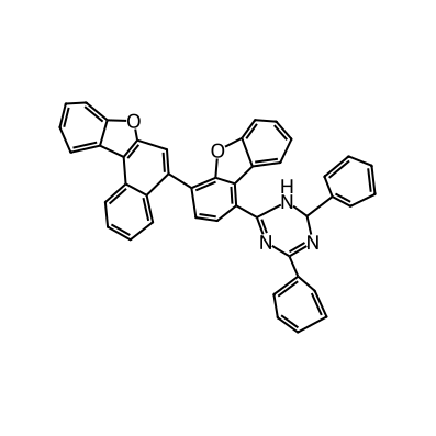 c1ccc(C2=NC(c3ccccc3)NC(c3ccc(-c4cc5oc6ccccc6c5c5ccccc45)c4oc5ccccc5c34)=N2)cc1